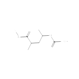 COC(=O)NC(C)CC(C)C(=O)NN